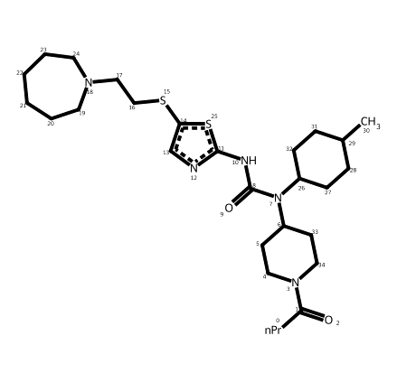 CCCC(=O)N1CCC(N(C(=O)Nc2ncc(SCCN3CCCCCC3)s2)C2CCC(C)CC2)CC1